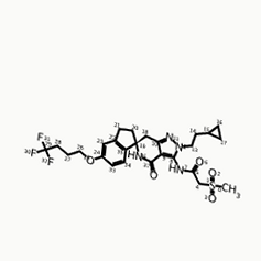 CS(=O)(=O)CC(=O)Nc1c2c(nn1CCC1CC1)C[C@@]1(CCc3cc(OCCCC(F)(F)F)ccc31)NC2=O